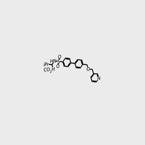 CC(C)C(NS(=O)(=O)c1ccc(-c2ccc(COCc3cccnc3)cc2)cc1)C(=O)O